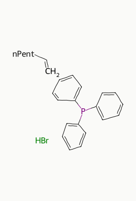 Br.C=CCCCCC.c1ccc(P(c2ccccc2)c2ccccc2)cc1